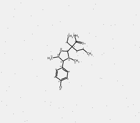 CCCC(CC)(C(N)=O)C1ON(C)C(c2ccc(Cl)cc2)N1C